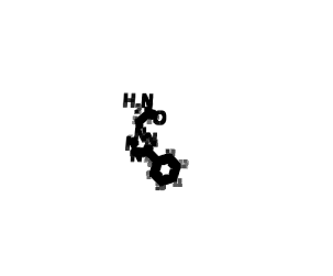 NC(=O)Cn1nnc(-c2ccccc2)n1